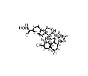 O=C(NO)c1ccc2c(c1)nc1n2CC[C@H]2[C@@H]1[C@H](c1cccc(Cl)c1F)[C@]1(C(=O)Nc3cc(Cl)ccc31)N2CC1CC1